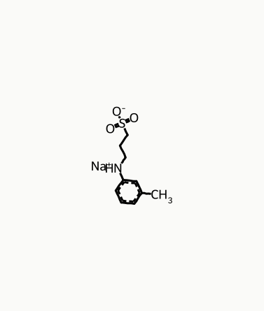 Cc1cccc(NCCCS(=O)(=O)[O-])c1.[Na+]